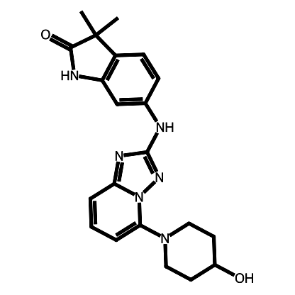 CC1(C)C(=O)Nc2cc(Nc3nc4cccc(N5CCC(O)CC5)n4n3)ccc21